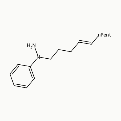 CCCCCC=CCCCN(N)c1ccccc1